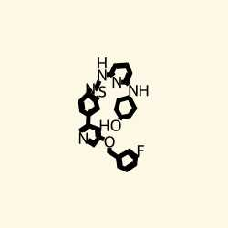 OC1CCC(Nc2cccc(Nc3nc4ccc(-c5cncc(OCc6cccc(F)c6)c5)cc4s3)n2)CC1